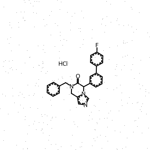 Cl.O=C1C(c2cccc(-c3ccc(F)cc3)c2)n2cncc2CN1Cc1ccccc1